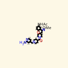 CO/N=C1/CC2(CCN(C(=O)C3CCN(Cc4ccnc(N)c4)CC3)CC2)Oc2ccc(NC(C)=O)cc21